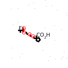 CCC(C)(C)C(=O)OCCOCOCC1(CC(=O)O)CCCC1